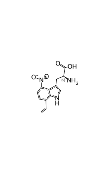 C=Cc1ccc([N+](=O)[O-])c2c(C[C@H](N)C(=O)O)c[nH]c12